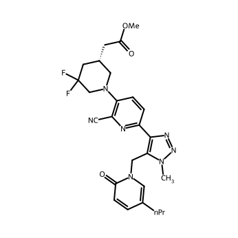 CCCc1ccc(=O)n(Cc2c(-c3ccc(N4C[C@@H](CC(=O)OC)CC(F)(F)C4)c(C#N)n3)nnn2C)c1